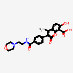 Cc1c(-c2ccc(C(=O)NCCN3CCOCC3)cc2)c(=O)oc2c(C(=O)O)c(O)ccc12